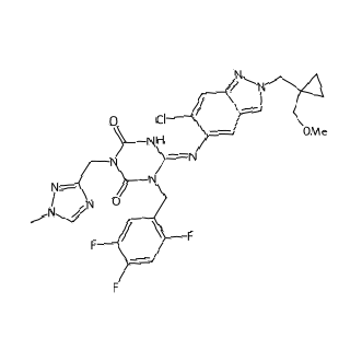 COCC1(Cn2cc3cc(/N=c4\[nH]c(=O)n(Cc5ncn(C)n5)c(=O)n4Cc4cc(F)c(F)cc4F)c(Cl)cc3n2)CC1